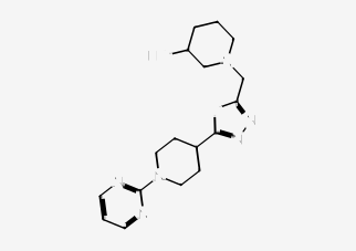 OC1CCCN(Cc2nnc(C3CCN(c4ncccn4)CC3)o2)C1